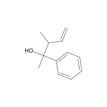 C=CC(C)C(C)(O)c1ccccc1